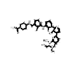 COc1nc(-c2ccnc(-c3cccc(Nc4nccc(CNC5CCN(C(C)=O)CC5)c4F)c3Cl)c2Cl)ccc1CN(C)CCO